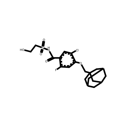 O=C(NS(=O)(=O)CCO)c1cc(Cl)c(OCC23CC4CC(CC(C4)C2)C3)cc1F